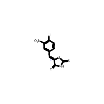 O=C1NC(=S)S/C1=C\c1ccc(Cl)c([N+](=O)[O-])c1